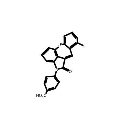 O=C(O)c1ccc(N2C(=O)/C(=C/c3c(F)cccc3F)c3c(I)cccc32)cc1